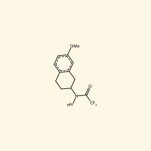 CCCN(C(=O)C(F)(F)F)C1CCc2ccc(OC)cc2C1